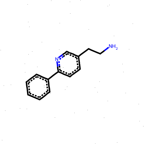 NCCc1ccc(-c2ccccc2)nc1